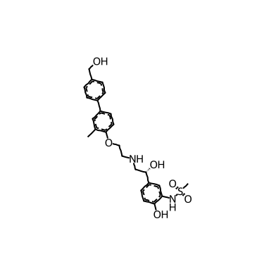 Cc1cc(-c2ccc(CO)cc2)ccc1OCCNC[C@H](O)c1ccc(O)c(NS(C)(=O)=O)c1